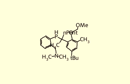 CCCCCC(C)(Pc1ccccc1CN(C)C)c1cc(C(C)(C)C)cc(C)c1OCOC